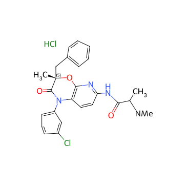 CNC(C)C(=O)Nc1ccc2c(n1)O[C@@](C)(Cc1ccccc1)C(=O)N2c1cccc(Cl)c1.Cl